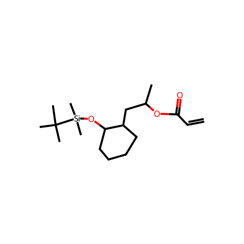 C=CC(=O)OC(C)CC1CCCCC1O[Si](C)(C)C(C)(C)C